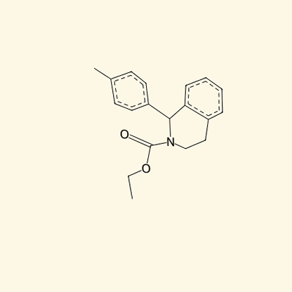 CCOC(=O)N1CCc2ccccc2C1c1ccc(C)cc1